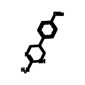 COc1ccc(C2CN=C(N)NC2)cc1